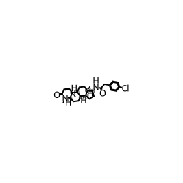 CN1C(=O)C=C[C@]2(C)[C@H]3CC[C@]4(C)[C@@H](NC(=O)Cc5ccc(Cl)cc5)CC[C@H]4[C@@H]3CC[C@@H]12